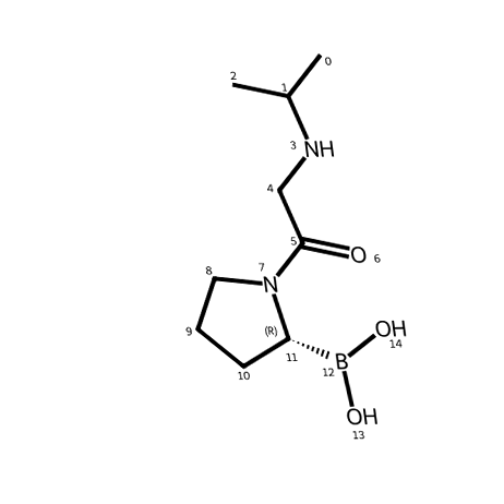 CC(C)NCC(=O)N1CCC[C@H]1B(O)O